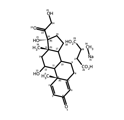 C[C@]12C=CC(=O)C=C1CCC1C2C(O)C[C@@]2(C)C1CC[C@]2(O)C(=O)CO.O=C(O)CCC(=O)O.[CH3][Na]